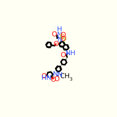 Cn1c(=O)n(C2CCC(=O)NC2=O)c2ccc([C@H]3CC[C@@H](CC(=O)Nc4ccc5c(F)c(N6CC(=O)NS6(=O)=O)c(OCc6ccccc6)cc5c4)CC3)cc21